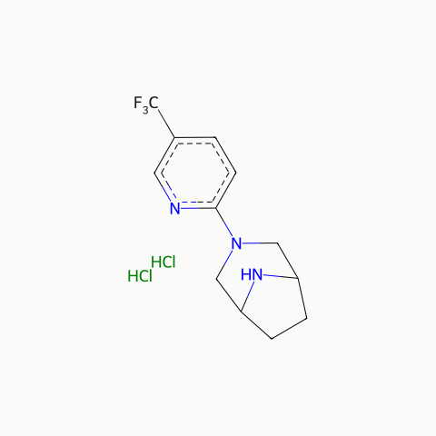 Cl.Cl.FC(F)(F)c1ccc(N2CC3CCC(C2)N3)nc1